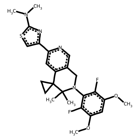 COc1cc(OC)c(F)c(N2Cc3cnc(-c4csc(N(C)C)n4)cc3C3(CC3)C2(C)C)c1F